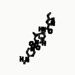 CCc1cc(C(=O)N[C@@H]2C[C@H]3CC2[C@H](C)CN(S(=O)(=O)N2CCC(N)CC2)C3)ns1